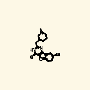 CN1CCCC(Cc2nc3c(oc4ccc(Br)cc43)c(=O)[nH]2)C1